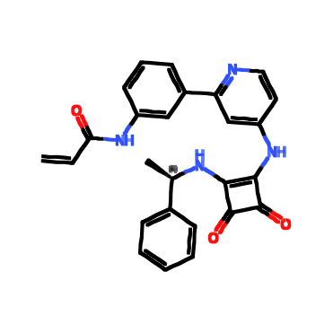 C=CC(=O)Nc1cccc(-c2cc(Nc3c(N[C@H](C)c4ccccc4)c(=O)c3=O)ccn2)c1